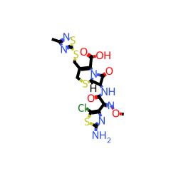 CON=C(C(=O)NC1C(=O)N2C(C(=O)O)=C(CSc3nc(C)ns3)CS[C@@H]12)c1nc(N)sc1Cl